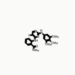 CNC(=O)c1ccccc1Nc1nc(Nc2cc(OC)c(OC)c(OC)c2)ncc1F